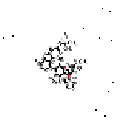 CC(C)(C)OC(=O)Nc1sc2c(F)ccc(-c3c4c(c5c(N6C7CCC6CN(C(=O)O)C7)cc(S(C)(=O)=O)nc5c3Cl)COC4)c2c1C#N